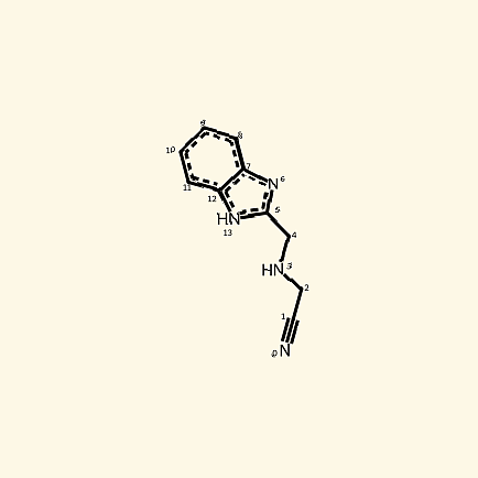 N#CCNCc1nc2ccccc2[nH]1